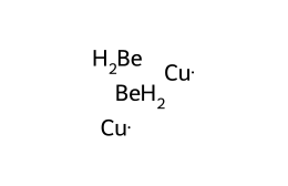 [BeH2].[BeH2].[Cu].[Cu]